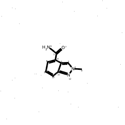 Cn1cc2c(C(N)=O)cccc2n1